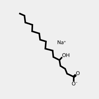 CCCCCCCCCCCC(O)CCCC(=O)[O-].[Na+]